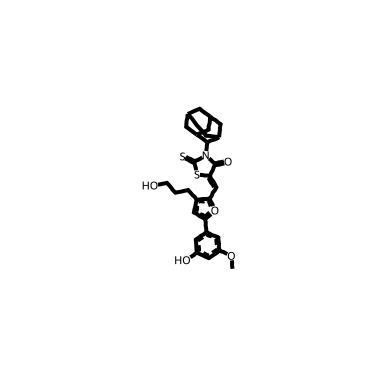 COc1cc(O)cc(-c2cc(CCCO)c(/C=C3\SC(=S)N(C4C5CC6CC(C5)CC4C6)C3=O)o2)c1